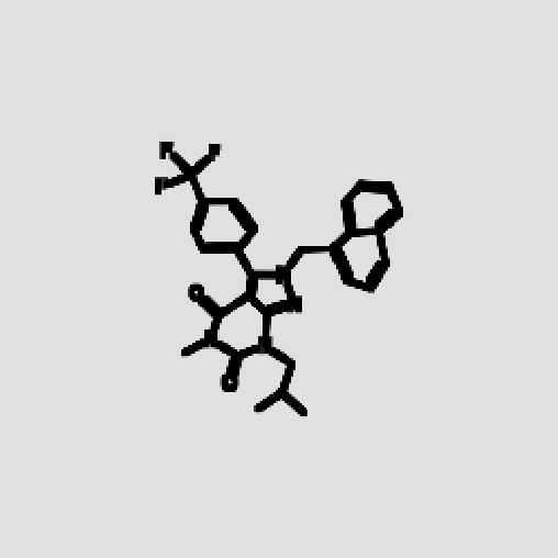 CC(C)Cn1c(=O)n(C)c(=O)c2c(-c3ccc(C(F)(F)F)cc3)n(Cc3cccc4ccccc34)nc21